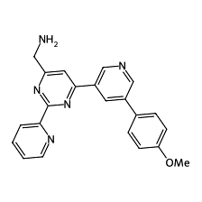 COc1ccc(-c2cncc(-c3cc(CN)nc(-c4ccccn4)n3)c2)cc1